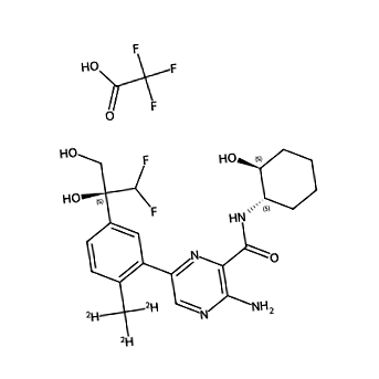 O=C(O)C(F)(F)F.[2H]C([2H])([2H])c1ccc([C@](O)(CO)C(F)F)cc1-c1cnc(N)c(C(=O)N[C@H]2CCCC[C@@H]2O)n1